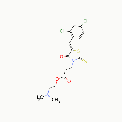 CN(C)CCOC(=O)CCN1C(=O)/C(=C/c2ccc(Cl)cc2Cl)SC1=S